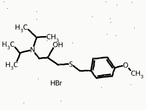 Br.COc1ccc(CSCC(O)CN(C(C)C)C(C)C)cc1